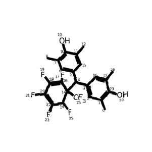 Cc1cc(C(c2cc(C)c(O)c(C)c2)C2(C(F)(F)F)C(F)=C(F)C(F)=C(F)C2F)cc(C)c1O